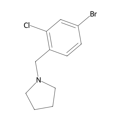 Clc1cc(Br)ccc1CN1CCCC1